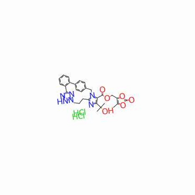 CCCc1nc(C(C)(C)O)c(C(=O)OCc2oc(=O)oc2C)n1Cc1ccc(-c2ccccc2-c2nn[nH]n2)cc1.Cl.Cl